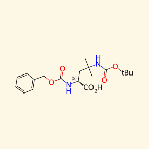 CC(C)(C[C@H](NC(=O)OCc1ccccc1)C(=O)O)NC(=O)OC(C)(C)C